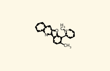 Cc1ccc2c(oc3cc4ccccc4nc32)c1-c1cccc[n+]1C